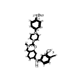 Cc1ccc(NC2CCC(CN(C)C(=O)N3CCN(c4ccc(C(C)(C)C)cc4)CC3)CC2)cc1C(F)(F)F